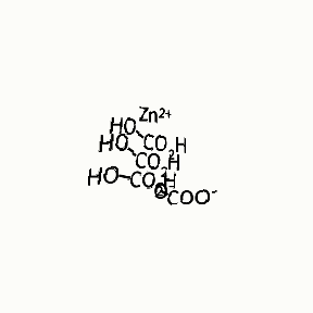 O=C(O)O.O=C(O)O.O=C(O)O.O=C([O-])[O-].[Zn+2]